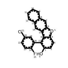 Oc1ccc2oc3cc4ccccc4cc3c2c1-c1cc(Cl)ccc1F